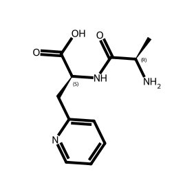 C[C@@H](N)C(=O)N[C@@H](Cc1ccccn1)C(=O)O